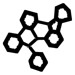 c1ccc(N2B3c4c(cccc4-n4c5ccccc5c5cccc3c54)-c3ccccc32)cc1